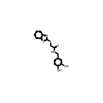 O=C(CSc1nc2ccccc2s1)NCc1ccc(O)c(O)c1